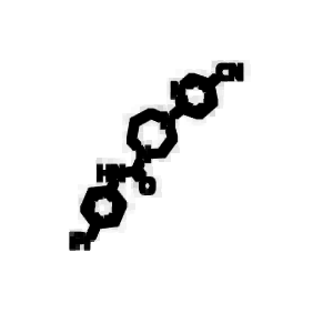 CC(C)c1ccc(NC(=O)N2CCCN(c3ccc(C#N)cn3)CC2)cc1